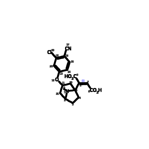 CN1C2CCC1(/C(=C\C(=O)O)C(=O)O)CC(Oc1ccc(C#N)c(Cl)c1)C2